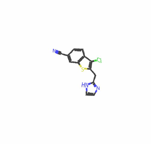 N#Cc1ccc2c(Cl)c(Cc3ncc[nH]3)sc2c1